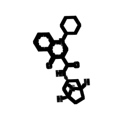 CN1[C@@H]2CC[C@H]1C[C@@H](NC(=O)c1cn(C3CCCCC3)c3ccccc3c1=O)C2